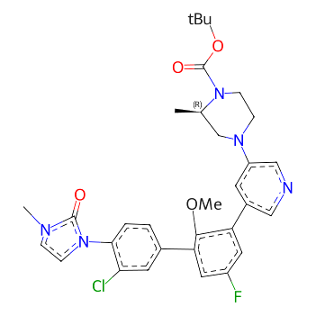 COc1c(-c2cncc(N3CCN(C(=O)OC(C)(C)C)[C@H](C)C3)c2)cc(F)cc1-c1ccc(-n2ccn(C)c2=O)c(Cl)c1